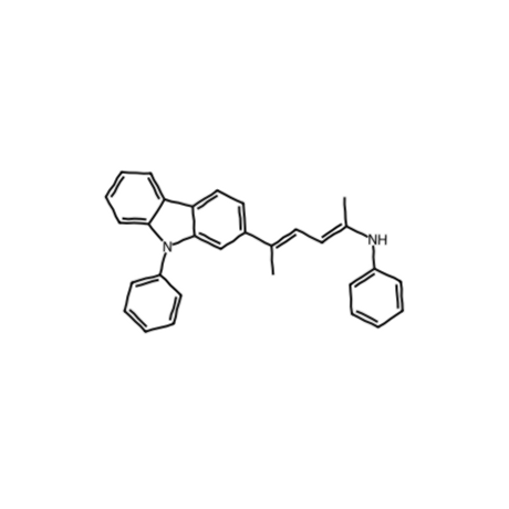 C/C(=C\C=C(/C)c1ccc2c3ccccc3n(-c3ccccc3)c2c1)Nc1ccccc1